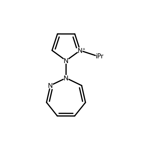 CC(C)[n+]1cccn1N1C=CC=CC=N1